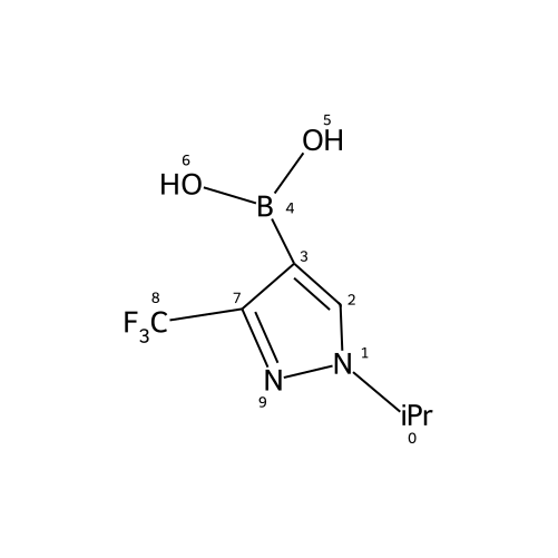 CC(C)n1cc(B(O)O)c(C(F)(F)F)n1